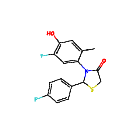 Cc1cc(O)c(F)cc1N1C(=O)CSC1c1ccc(F)cc1